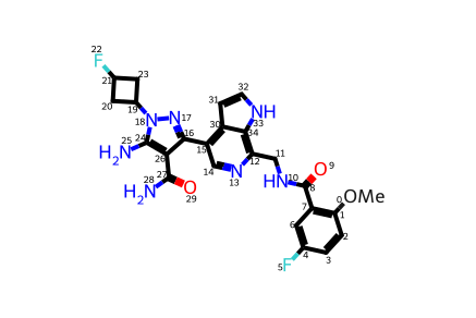 COc1ccc(F)cc1C(=O)NCc1ncc(-c2nn(C3CC(F)C3)c(N)c2C(N)=O)c2cc[nH]c12